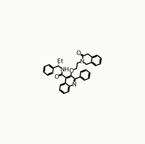 CC[C@H](NC(=O)c1c(OCCN2Cc3ccccc3CC2=O)c(-c2ccccc2)nc2ccccc12)c1ccccc1